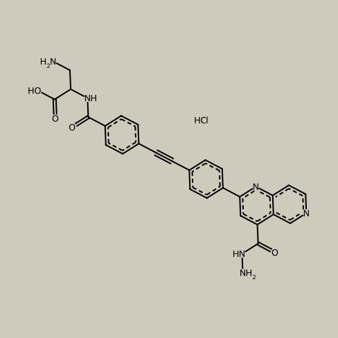 Cl.NCC(NC(=O)c1ccc(C#Cc2ccc(-c3cc(C(=O)NN)c4cnccc4n3)cc2)cc1)C(=O)O